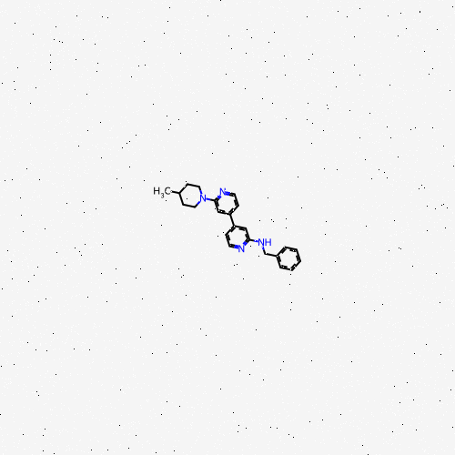 CC1CCN(c2cc(-c3ccnc(NCc4ccccc4)c3)ccn2)CC1